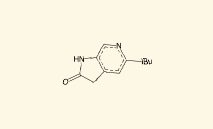 CCC(C)c1cc2c(cn1)NC(=O)C2